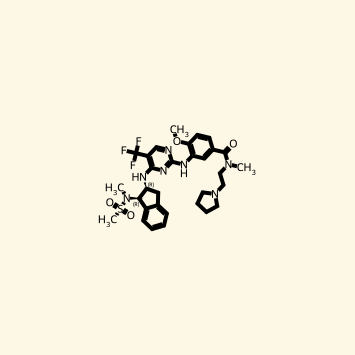 COc1ccc(C(=O)N(C)CCN2CCCC2)cc1Nc1ncc(C(F)(F)F)c(N[C@@H]2Cc3ccccc3[C@H]2N(C)S(C)(=O)=O)n1